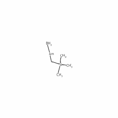 [BH2][Am][CH2][Si](C)(C)C